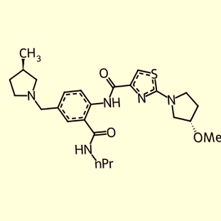 CCCNC(=O)c1cc(CN2CC[C@@H](C)C2)ccc1NC(=O)c1csc(N2CC[C@H](OC)C2)n1